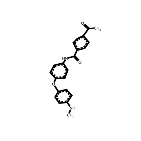 CNc1ccc(Oc2ccc(NC(=O)c3ccc(C(C)=O)cc3)cc2)cc1